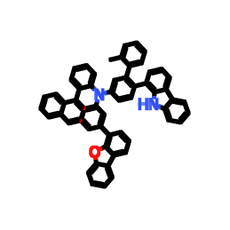 Cc1ccccc1-c1cc(N(c2cccc(-c3cccc4c3oc3ccccc34)c2)c2ccccc2-c2cccc3ccccc23)ccc1-c1cccc2c1[nH]c1ccccc12